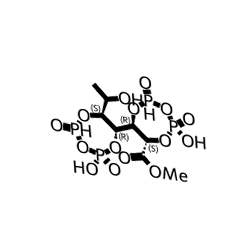 COC(=O)[C@H]1OP(=O)(O)O[PH](=O)O[C@@H]1[C@@H]1OP(=O)(O)O[PH](=O)O[C@H]1C(C)O